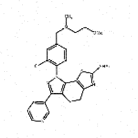 COCCN(C)Cc1ccc(-n2nc(-c3cccnc3)c3c2-c2sc(NC(C)=O)nc2CC3)c(Cl)c1